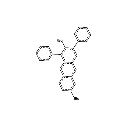 CC(C)(C)c1ccc2cc3c(-c4ccccc4)c(C(C)(C)C)c(-c4ccccc4)cc3cc2c1